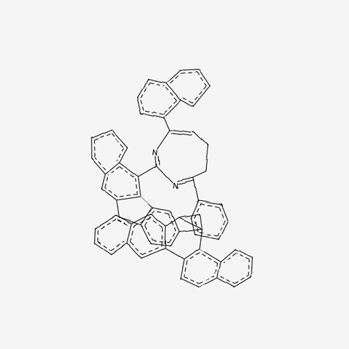 C1=C(c2cccc3ccccc23)/N=C(c2c3c(cc4ccccc24)Cc2ccc(C45CC4c4cc6ccccc6cc4-c4ccc6ccccc6c45)cc2-3)\N=C(\c2ccccc2)CC\1